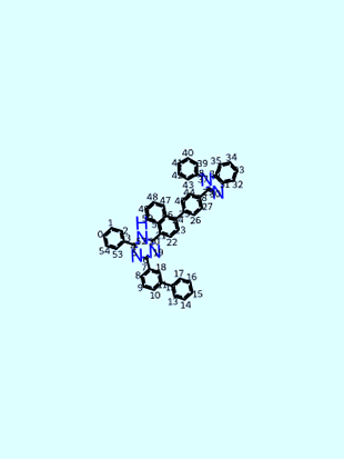 c1ccc(C2=NC(c3cccc(-c4ccccc4)c3)=NC(c3ccc(-c4ccc(-c5nc6ccccc6n5-c5ccccc5)cc4)c4ccccc34)N2)cc1